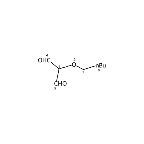 CCCCCOC(C=O)C=O